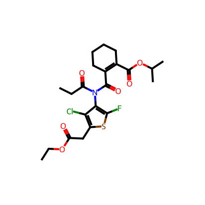 CCOC(=O)Cc1sc(F)c(N(C(=O)CC)C(=O)C2=C(C(=O)OC(C)C)CCCC2)c1Cl